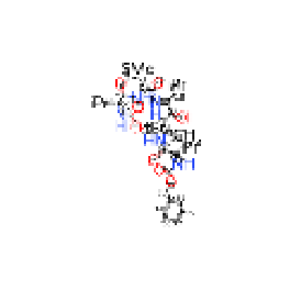 CSCC[C@H](NC(=O)[C@@H](NC(=O)OC(C)(C)C)C(C)C)C(=O)N[C@@H](CC(C)C)[C@@H](O)C[C@H](C)NC(=O)[C@@H](NC(=O)OCc1ccccc1)C(C)C